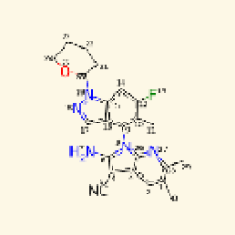 Cc1cc2c(C#N)c(N)n(-c3c(C)c(F)cc4c3cnn4C3CCCCO3)c2nc1C